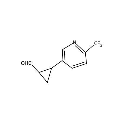 O=CC1CC1c1ccc(C(F)(F)F)nc1